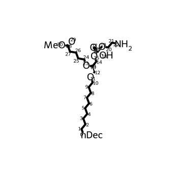 CCCCCCCCCCCCCCCCCCCCOC[C@H](CO[P@](=O)(O)OCCN)OCCCCC(=O)OC